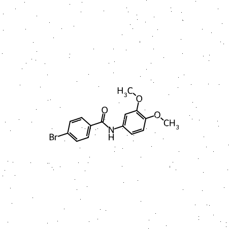 COc1ccc(NC(=O)c2ccc(Br)cc2)cc1OC